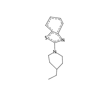 CCC1CCN(c2nc3ccccc3s2)CC1